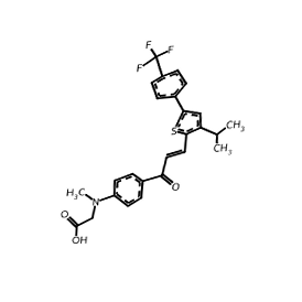 CC(C)c1cc(-c2ccc(C(F)(F)F)cc2)sc1C=CC(=O)c1ccc(N(C)CC(=O)O)cc1